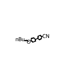 CCCC/C=C/Oc1ccc(-c2ccc(C#N)cc2)cc1